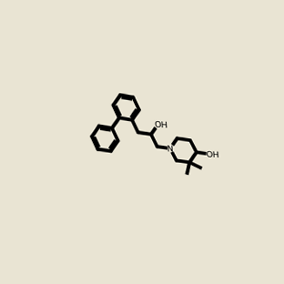 CC1(C)CN(CC(O)Cc2ccccc2-c2ccccc2)CCC1O